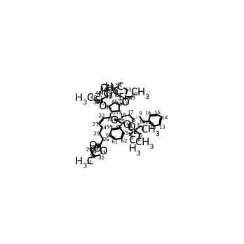 CC[Si](CC)(CC)O[C@@H](CCc1ccccc1)C[C@H]([C@@H]1[C@@H](C/C=C\CCCC23OCC(C)(CO2)CO3)[C@@H](O[Si](CC)(CC)CC)C[C@H]1O[Si](CC)(CC)CC)S(=O)(=O)c1ccccc1